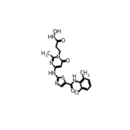 Cc1cccc(Cl)c1NC(=O)c1cnc(Nc2cc(=O)n(CCC(=O)NO)c(C)n2)s1